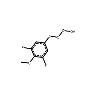 COc1c(F)cc(SOOO)cc1F